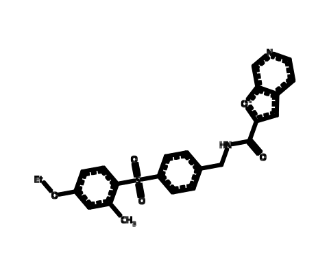 CCOc1ccc(S(=O)(=O)c2ccc(CNC(=O)c3cc4ccncc4o3)cc2)c(C)c1